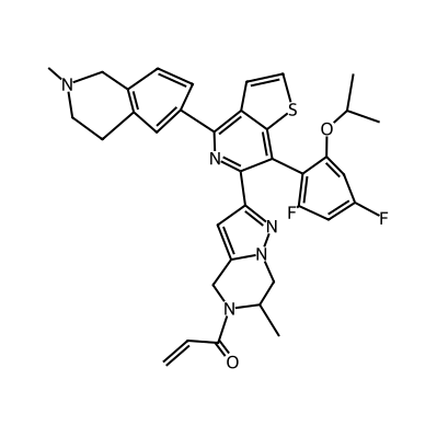 C=CC(=O)N1Cc2cc(-c3nc(-c4ccc5c(c4)CCN(C)C5)c4ccsc4c3-c3c(F)cc(F)cc3OC(C)C)nn2CC1C